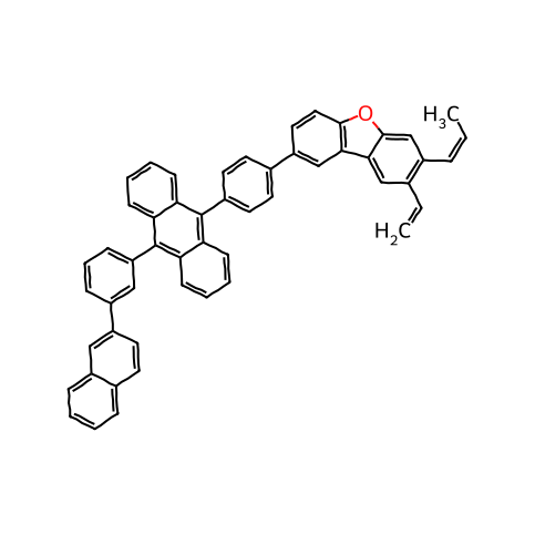 C=Cc1cc2c(cc1/C=C\C)oc1ccc(-c3ccc(-c4c5ccccc5c(-c5cccc(-c6ccc7ccccc7c6)c5)c5ccccc45)cc3)cc12